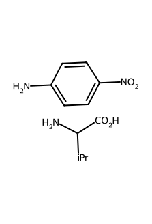 CC(C)C(N)C(=O)O.Nc1ccc([N+](=O)[O-])cc1